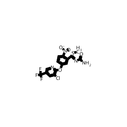 CSC(=NC(N)=O)c1cc(Oc2ncc(C(F)(F)F)cc2Cl)ccc1[N+](=O)[O-]